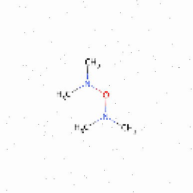 CN(C)ON(C)C